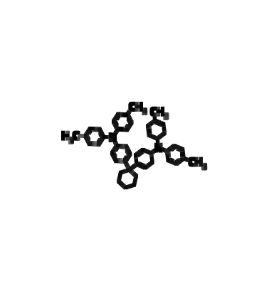 CC1=CCC(N(c2ccc(C)cc2)C2C=CC(C3(c4ccc(N(c5ccc(C)cc5)c5ccc(C)cc5)cc4)CCCCC3)=CC2)C=C1